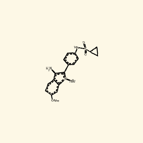 CCCCn1c(-c2ccc(NS(=O)(=O)C3CC3)cc2)c(N)c2ccc(OC)cc21